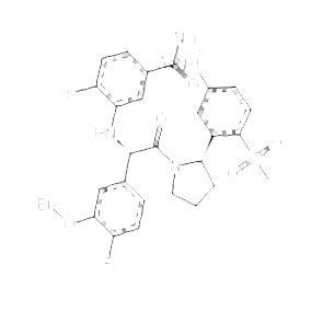 CCOc1cc([C@@H](Nc2cc(C(N)=O)ccc2F)C(=O)N2CCC[C@@H]2c2cc(NC(C)=O)ccc2S(C)(=O)=O)ccc1F